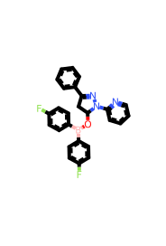 Fc1ccc(B(OC2CC(c3ccccc3)=NN2c2ccccn2)c2ccc(F)cc2)cc1